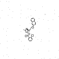 Cc1cc(OC(=O)c2ccccc2Cl)n(CCOc2ccc3ccccc3c2)n1